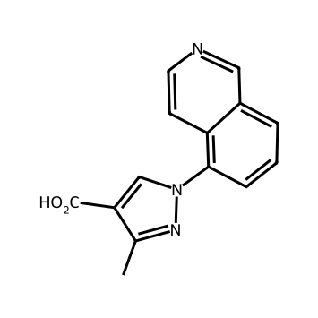 Cc1nn(-c2cccc3cnccc23)cc1C(=O)O